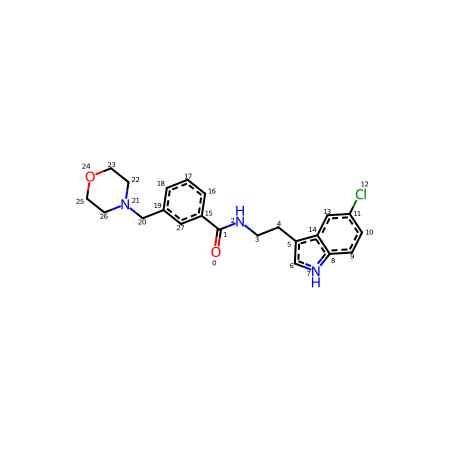 O=C(NCCc1c[nH]c2ccc(Cl)cc12)c1cccc(CN2CCOCC2)c1